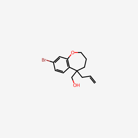 C=CCC1(CO)CCCOc2cc(Br)ccc21